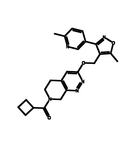 Cc1ccc(-c2noc(C)c2COc2cc3c(nn2)CN(C(=O)C2CCC2)CC3)cn1